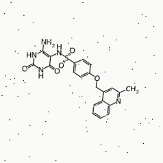 Cc1cc(COc2ccc(S(=O)(=O)Nc3c(N)[nH]c(=O)[nH]c3=O)cc2)c2ccccc2n1